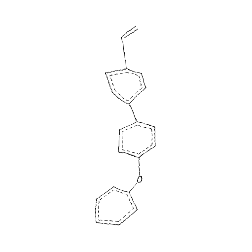 C=Cc1ccc(-c2ccc(Oc3ccccc3)cc2)cc1